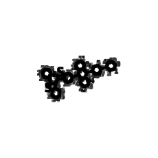 c1ccc(-c2ccc(-c3c4ccccc4c(-c4ccc5c(c4)sc4c6ccccc6c6sc7ccccc7c6c54)c4ccccc34)cc2)cc1